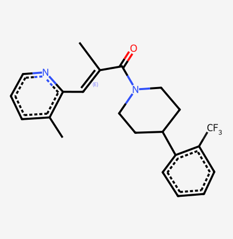 C/C(=C\c1ncccc1C)C(=O)N1CCC(c2ccccc2C(F)(F)F)CC1